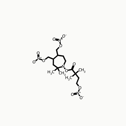 CC(C)(CCO[N+](=O)[O-])C(=O)ON1CCC(CO[N+](=O)[O-])C(CO[N+](=O)[O-])CC1(C)C